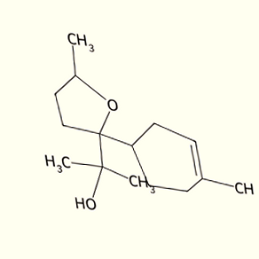 CC1=CCC(C2(C(C)(C)O)CCC(C)O2)CC1